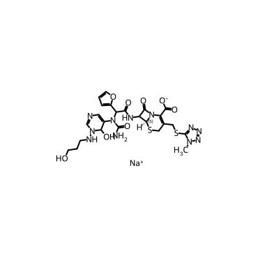 Cn1nnnc1SCC1=C(C(=O)[O-])N2C(=O)C(NC(=O)C(c3ccco3)N(C(N)=O)C3=CN=CN(NCCCO)C3O)[C@@H]2SC1.[Na+]